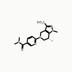 CCOC(=O)c1nn(C)c2c1CN(c1ccc(C(=O)N(C)C)cn1)C[C@H]2C